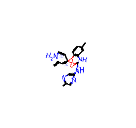 C=C/C=C(\C=C/N)Oc1ccc(C)cc1NC(=O)Nc1cnc(C)cn1